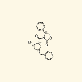 CC[C@H]1CN(Cc2ccccc2)C[C@H]1C(=O)N1C(=O)OC[C@@H]1c1ccccc1